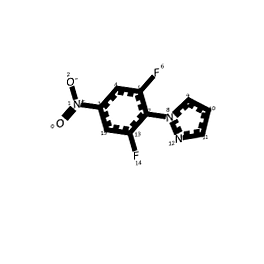 O=[N+]([O-])c1cc(F)c(-n2cccn2)c(F)c1